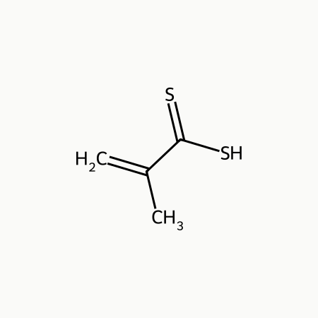 C=C(C)C(=S)S